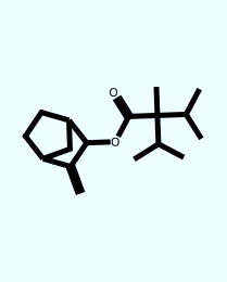 C=C1C2CCC(C2)C1OC(=O)C(C)(C(C)C)C(C)C